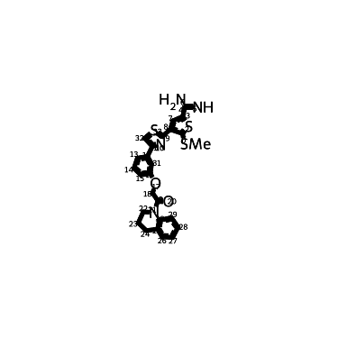 CSc1sc(C(=N)N)cc1-c1nc(-c2cccc(OCC(=O)N3CCCc4ccccc43)c2)cs1